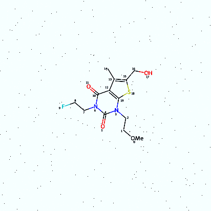 COCCn1c(=O)n(CCF)c(=O)c2c(C)c(CO)sc21